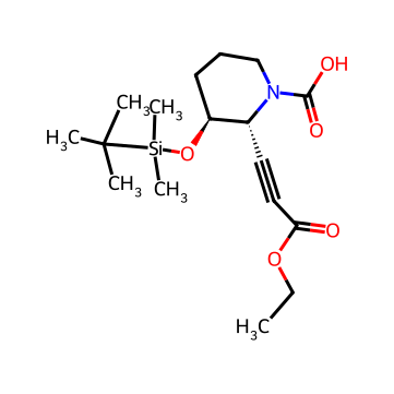 CCOC(=O)C#C[C@@H]1[C@@H](O[Si](C)(C)C(C)(C)C)CCCN1C(=O)O